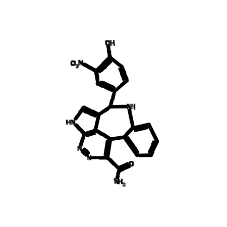 NC(=O)c1nnc2[nH]cc3c2c1-c1ccccc1NC3c1ccc(O)c([N+](=O)[O-])c1